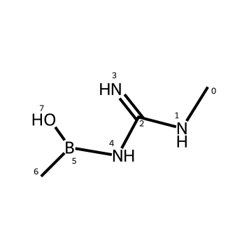 CNC(=N)NB(C)O